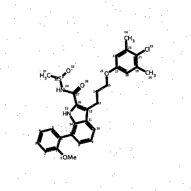 COc1ccccc1-c1cccc2c(CCCOc3cc(C)c(Cl)c(C)c3)c(C(=O)N[S+](C)[O-])[nH]c12